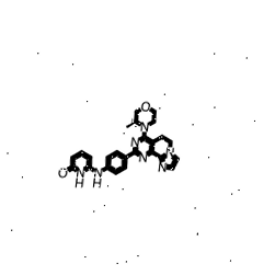 C[C@H]1COCCN1c1nc(-c2ccc(Nc3cccc(=O)[nH]3)cc2)nc2c1CCn1ccnc1-2